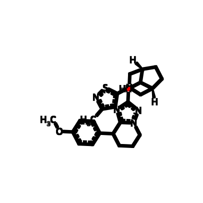 COc1ccc(C2CCCn3nc(NC4[C@@H]5CC[C@H]4CN(c4cc(C)ns4)C5)nc32)cc1